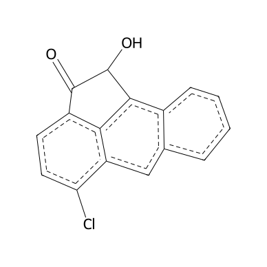 O=C1c2ccc(Cl)c3cc4ccccc4c(c23)C1O